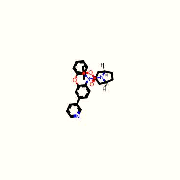 CC(C)(C)OC(=O)N1[C@@H]2CC[C@H]1C[C@@H](N1c3ccccc3Oc3cc(-c4cccnc4)ccc31)C2